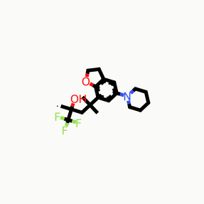 [CH2]C(O)(CC(C)(C)c1cc(N2CCCCC2)cc2c1OCC2)C(F)(F)F